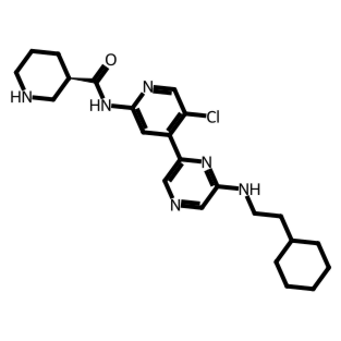 O=C(Nc1cc(-c2cncc(NCCC3CCCCC3)n2)c(Cl)cn1)[C@@H]1CCCNC1